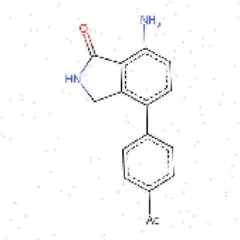 CC(=O)c1ccc(-c2ccc(N)c3c2CNC3=O)cc1